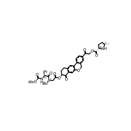 CC[C@H](C)N(CC(=O)OC1CCc2cc3c(cc2C1=O)OCc1cc(C(=O)COC(=O)[C@@H]2CC[C@H](C)N2)ccc1-3)C(=O)[C@@H](NC(=O)OC)C(C)C